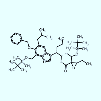 CCC[C@@H](c1coc2c(CO[Si](C)(C)C(C)(C)C)c(OCc3ccccc3)c(CC(C)C)cc12)[C@@H]1C[C@@H](O[Si](C)(C)C(C)(C)C)C2(OC2CC)C(=O)O1